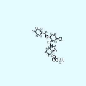 O=C(O)Oc1cccc2c1ccn2Cc1cc(Cl)ccc1OCc1ccccc1